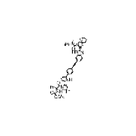 COC(=O)N[C@H](C(=O)N1CC(C)(C)C[C@H]1c1ncc(-c2ccc(C#Cc3ccc4nc([C@@H]5C[C@@]6(CCCO6)CN5C(=O)[C@@H](C)C(C)C)[nH]c4c3)cc2)[nH]1)C(C)C